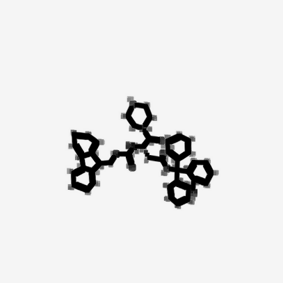 O=C(C[C@H](NC(=O)OCC1c2ccccc2-c2ccccc21)C(=O)N1CCOCC1)OC(c1ccccc1)(c1ccccc1)c1ccccc1Cl